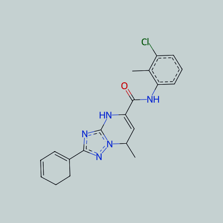 Cc1c(Cl)cccc1NC(=O)C1=CC(C)n2nc(C3=CC=CCC3)nc2N1